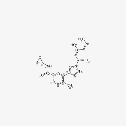 C=C(/C=C(O)\C=N/C)n1cc(-c2cc(C(=O)NC3CC3)ccc2C)cn1